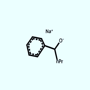 CCCC([O-])c1ccccc1.[Na+]